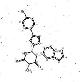 CN1C(=N)N[C@H](c2cc(-c3ccc(Br)cn3)cs2)[C@H](c2ccc3occc3c2)C1=O